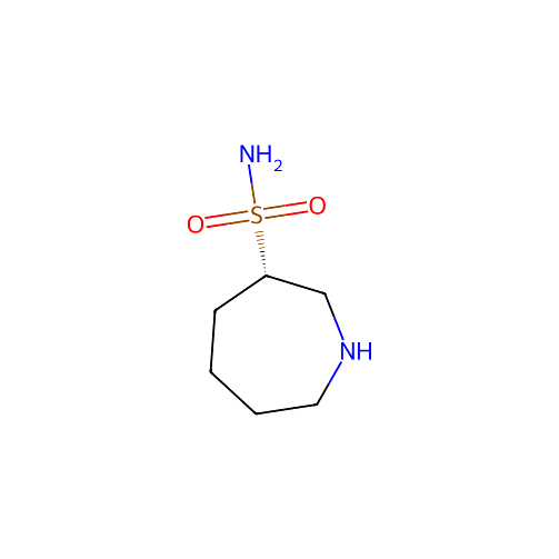 NS(=O)(=O)[C@H]1CCCCNC1